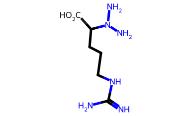 N=C(N)NCCCC(C(=O)O)N(N)N